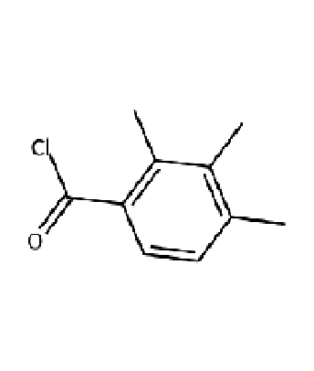 Cc1ccc(C(=O)Cl)c(C)c1C